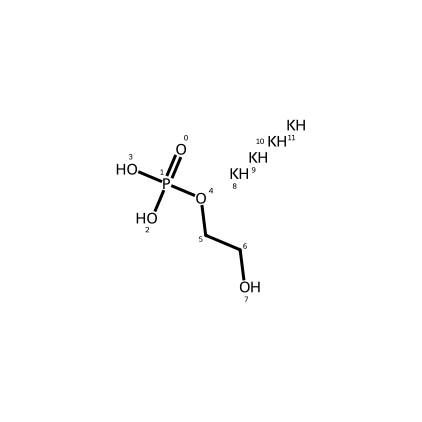 O=P(O)(O)OCCO.[KH].[KH].[KH].[KH]